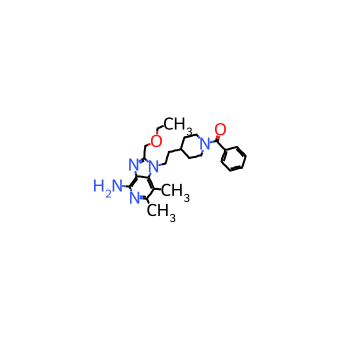 CCOCc1nc2c(N)nc(C)c(C)c2n1CCC1CCN(C(=O)c2ccccc2)CC1